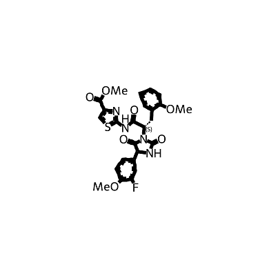 COC(=O)c1csc(NC(=O)[C@H](Cc2ccccc2OC)N2C(=O)NC(c3ccc(OC)c(F)c3)C2=O)n1